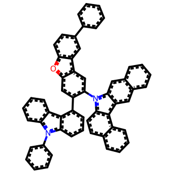 c1ccc(-c2ccc3oc4cc(-c5cccc6c5c5ccccc5n6-c5ccccc5)c(-n5c6cc7ccccc7cc6c6c7ccccc7ccc65)cc4c3c2)cc1